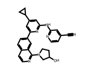 N#Cc1ccnc(Nc2cc(C3CC3)cc(-c3ccc4ccnc(N5CCC(O)C5)c4c3)n2)c1